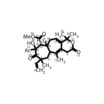 C=CC1(C)CC2C(C)=C3CC(=O)OC(C)(C)C3=CCC2(C)[C@H](C(=O)OC)C(O)(C(C)=O)C1=O